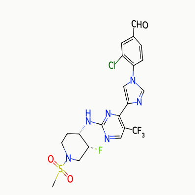 CS(=O)(=O)N1CC[C@H](Nc2ncc(C(F)(F)F)c(-c3cn(-c4ccc(C=O)cc4Cl)cn3)n2)[C@H](F)C1